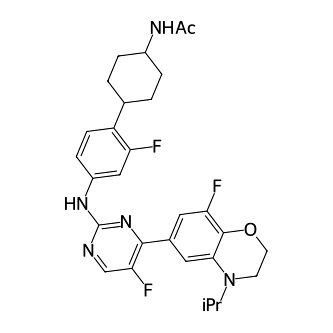 CC(=O)NC1CCC(c2ccc(Nc3ncc(F)c(-c4cc(F)c5c(c4)N(C(C)C)CCO5)n3)cc2F)CC1